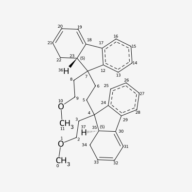 COCCC1(CCC2(CCOC)c3ccccc3C3=CC=CC[C@H]32)c2ccccc2C2=CC=CC[C@H]21